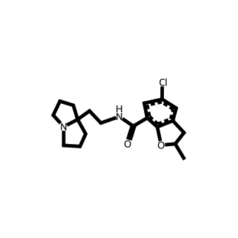 CC1Cc2cc(Cl)cc(C(=O)NCCC34CCCN3CCC4)c2O1